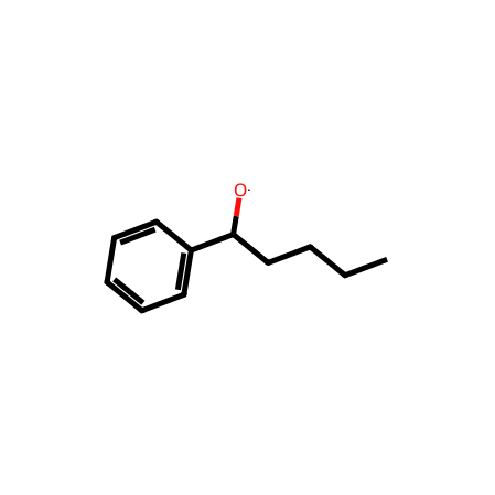 CCCCC([O])c1ccccc1